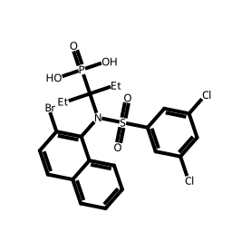 CCC(CC)(N(c1c(Br)ccc2ccccc12)S(=O)(=O)c1cc(Cl)cc(Cl)c1)P(=O)(O)O